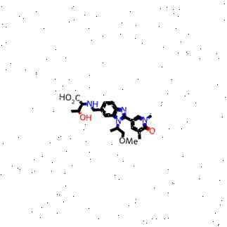 COCC(C)n1c(-c2cc(C)c(=O)n(C)c2)nc2ccc(CNC(C(=O)O)C(C)O)cc21